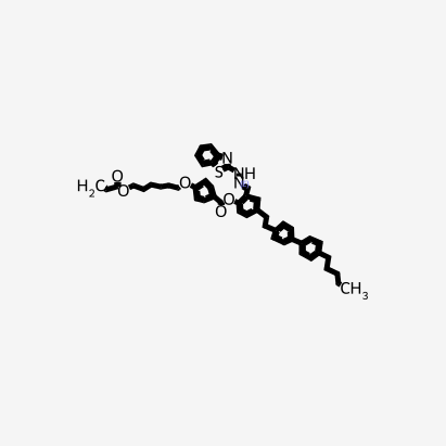 C=CC(=O)OCCCCCCOc1ccc(C(=O)Oc2ccc(CCc3ccc(-c4ccc(CCCCC)cc4)cc3)cc2/C=N/Nc2nc3ccccc3s2)cc1